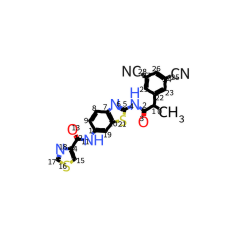 CC(C(=O)Nc1nc2ccc(NC(=O)c3cscn3)cc2s1)c1cc(C#N)cc(C#N)c1